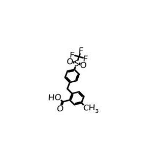 Cc1ccc(Cc2ccc(S(=O)(=O)C(F)(F)F)cc2)c(C(=O)O)c1